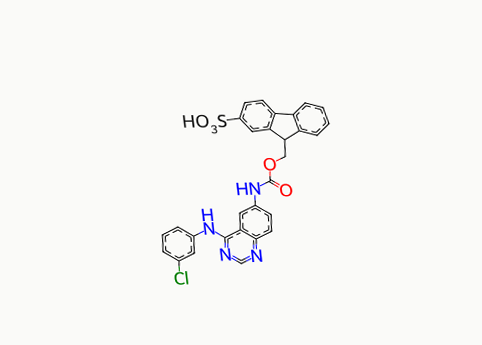 O=C(Nc1ccc2ncnc(Nc3cccc(Cl)c3)c2c1)OCC1c2ccccc2-c2ccc(S(=O)(=O)O)cc21